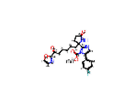 CC(C)(C)OC(=O)n1c(-c2ccc(F)cc2)cnc1C1(CCCCCC(=O)c2ncco2)CCC(=O)N1